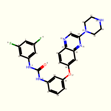 O=C(Nc1cc(F)cc(F)c1)Nc1cccc(Oc2ccc3ncc(N4CCNCC4)nc3c2)c1